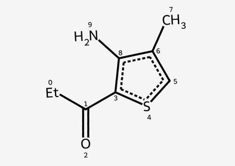 CCC(=O)c1scc(C)c1N